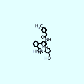 Cc1ccc(CC(=O)Nc2cc(-c3ccccc3-c3nnn[nH]3)nc(N3CCC(CO)CC3)c2)cc1